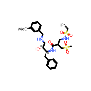 COc1cccc(CNC[C@@H](O)[C@H](Cc2ccccc2)NC(=O)C(CNS(=O)(=O)CC(C)C)CS(C)(=O)=O)c1